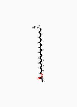 CCCCCCCCCCCCCCCCCCCCCCCCCCCCOC(=O)CC